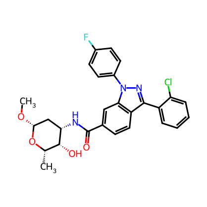 CO[C@@H]1C[C@H](NC(=O)c2ccc3c(-c4ccccc4Cl)nn(-c4ccc(F)cc4)c3c2)[C@H](O)[C@H](C)O1